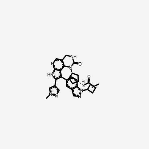 COC(=O)N[C@@H]1CC[C@@H](N2C(=O)NCc3cnc4[nH]c(-c5cnn(C)c5)c(-c5ccc6c(cnn6C6CCC6)c5)c4c32)C1